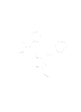 C[C@@H](N[C@@H](CCc1ccccc1)C(=O)O)C(=O)O.NC(Cc1ccccc1)C(=O)O